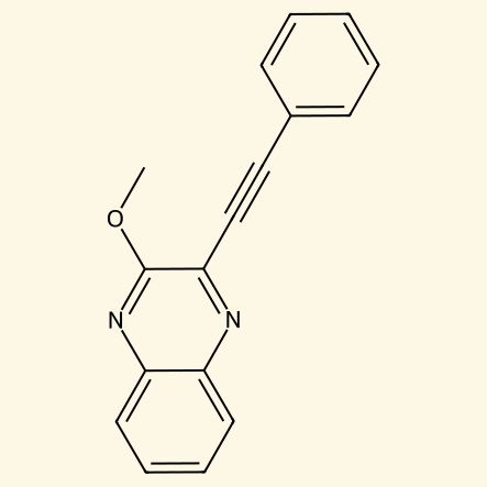 COc1nc2ccccc2nc1C#Cc1ccccc1